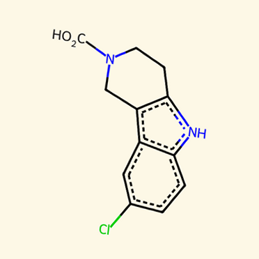 O=C(O)N1CCc2[nH]c3ccc(Cl)cc3c2C1